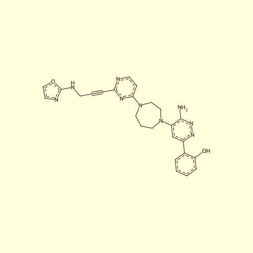 Nc1nnc(-c2ccccc2O)cc1N1CCCN(c2ccnc(C#CCNc3ncco3)n2)CC1